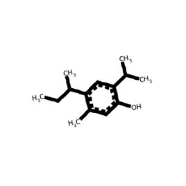 CCC(C)c1cc(C(C)C)c(O)cc1C